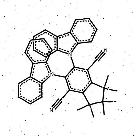 CC1(C)c2c(C#N)c(-n3c4ccccc4c4ccccc43)c(-n3c4ccccc4c4ccccc43)c(C#N)c2C(C)(C)C1(C)C